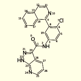 O=C(Nc1ccc(Cl)c(-c2nccc3ccccc23)c1)c1n[nH]c2ncccc12